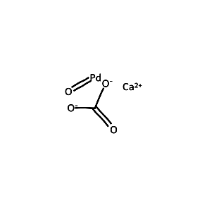 O=C([O-])[O-].[Ca+2].[O]=[Pd]